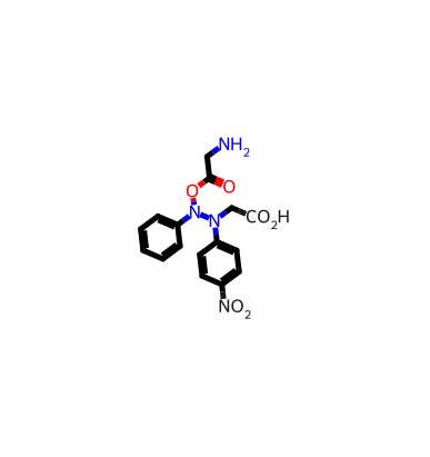 NCC(=O)ON(c1ccccc1)N(CC(=O)O)c1ccc([N+](=O)[O-])cc1